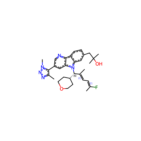 C/C(F)=C\C=C(/C)[C@H](C1CCOCC1)n1c2cc(CC(C)(C)O)ccc2c2ncc(-c3c(C)nnn3C)cc21